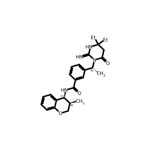 CCC1(CC)CC(=O)N([C@H](C)c2cccc(C(=O)N[C@@H]3c4ccccc4OC[C@@H]3C)c2)C(=N)N1